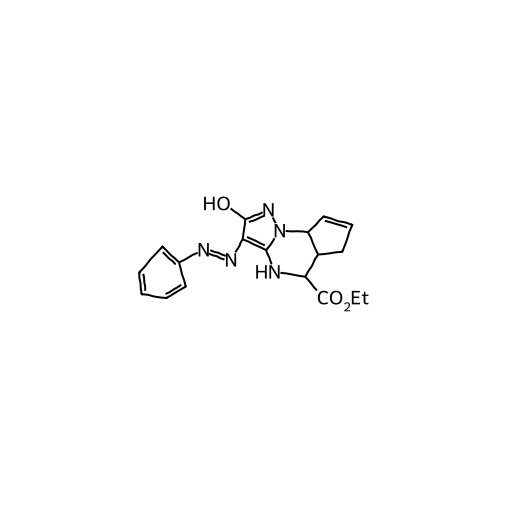 CCOC(=O)C1Nc2c(/N=N/c3ccccc3)c(O)nn2C2C=CCC12